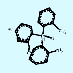 Cc1ccccc1[PH](Cl)(c1ccccc1C)c1ccccc1C.[Au]